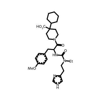 CCN(CCc1c[nH]cn1)C(=O)NC(Cc1ccc(OC)cc1)C(=O)N1CCC(C(=O)O)(C2CCCCC2)CC1